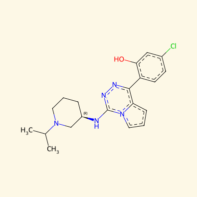 CC(C)N1CCC[C@@H](Nc2nnc(-c3ccc(Cl)cc3O)c3cccn23)C1